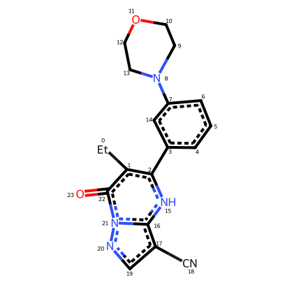 CCc1c(-c2cccc(N3CCOCC3)c2)[nH]c2c(C#N)cnn2c1=O